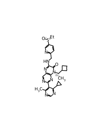 CC[S+]([O-])c1ccc(CNc2nc3cnc(-c4c(C)ncnc4C4CC4)nc3n([C@@H](C)C3CCC3)c2=O)nc1